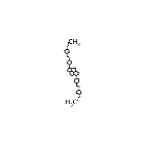 CCCCc1ccc(/C=C/c2ccc(-c3ccc4ccc5c(-c6ccc(/C=C/c7ccc(CCCC)cc7)cc6)ccc6ccc3c4c65)cc2)cc1